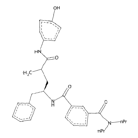 [CH2]C(C[C@H](Cc1ccccc1)NC(=O)c1cccc(C(=O)N(CCC)CCC)c1)C(=O)Nc1ccc(O)cc1